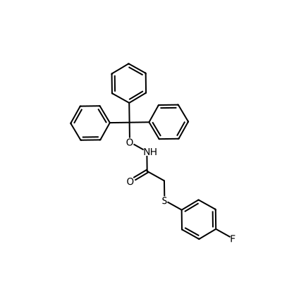 O=C(CSc1ccc(F)cc1)NOC(c1ccccc1)(c1ccccc1)c1ccccc1